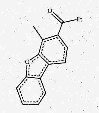 CCC(=O)c1ccc2c(oc3ccccc32)c1C